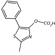 Cc1nc(OC(=O)O)c(-c2ccccc2)s1